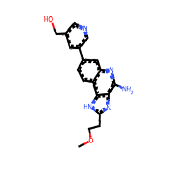 COCCc1nc2c(N)nc3cc(-c4cncc(CO)c4)ccc3c2[nH]1